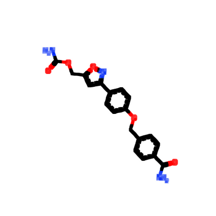 NC(=O)OCc1cc(-c2ccc(OCc3ccc(C(N)=O)cc3)cc2)no1